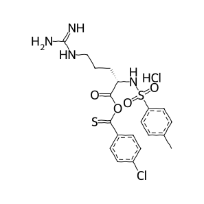 Cc1ccc(S(=O)(=O)N[C@@H](CCCNC(=N)N)C(=O)OC(=S)c2ccc(Cl)cc2)cc1.Cl